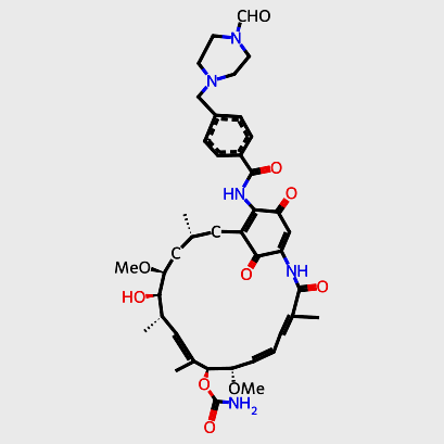 CO[C@H]1/C=C\C=C(/C)C(=O)NC2=CC(=O)C(NC(=O)c3ccc(CN4CCN(C=O)CC4)cc3)=C(C[C@@H](C)C[C@H](OC)[C@H](O)[C@@H](C)/C=C(\C)[C@@H]1OC(N)=O)C2=O